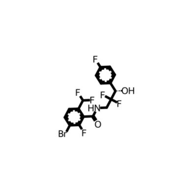 O=C(NCC(F)(F)[C@@H](O)c1ccc(F)cc1)c1c(C(F)F)ccc(Br)c1F